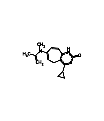 C=C(C)N(C)C1=CCc2c(C3CC3)cc(=O)[nH]c2C=C1